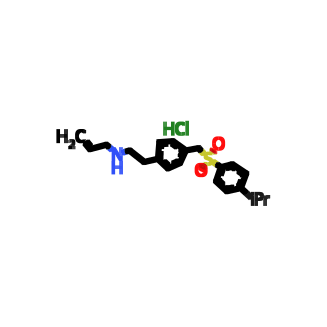 C=CCNCCc1ccc(CS(=O)(=O)c2ccc(C(C)C)cc2)cc1.Cl